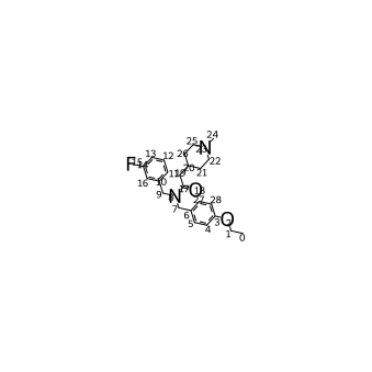 CCOc1ccc(CN(Cc2cccc(F)c2)C(=O)CC2CCN(C)CC2)cc1